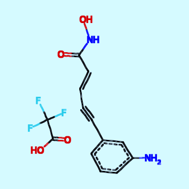 Nc1cccc(C#CC=CC(=O)NO)c1.O=C(O)C(F)(F)F